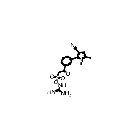 Cc1cc(C#N)c(-c2cccc(C(=O)CS(=O)(=O)ONC(=N)N)c2)n1C